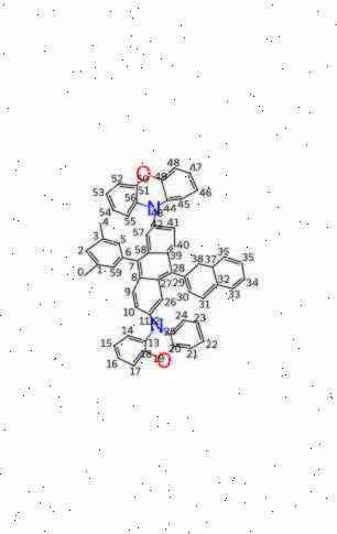 Cc1cc(C)cc(-c2c3ccc(N4c5ccccc5Oc5ccccc54)cc3c(C3=CC=C4C=CC=CC4C3)c3ccc(N4c5ccccc5Oc5ccccc54)cc23)c1